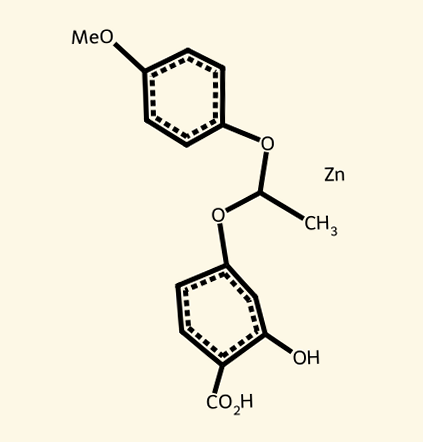 COc1ccc(OC(C)Oc2ccc(C(=O)O)c(O)c2)cc1.[Zn]